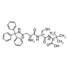 CC(C)(C)[C@H](NC(=O)[C@H](CS)NC(=O)[C@@H](N)CC(=O)NC(c1ccccc1)(c1ccccc1)c1ccccc1)C(=O)O